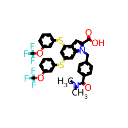 CN(C)C(=O)c1ccc(Cn2c(C(=O)O)cc3c(Sc4cccc(OC(F)(F)F)c4)cc(Sc4cccc(OC(F)(F)F)c4)cc32)cc1